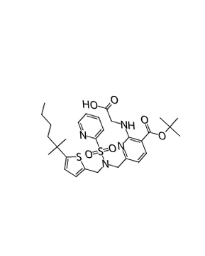 CCCCC(C)(C)c1ccc(CN(Cc2ccc(C(=O)OC(C)(C)C)c(NCC(=O)O)n2)S(=O)(=O)c2ccccn2)s1